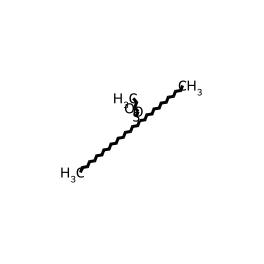 CCCCCCCCCCCCCCCCCC(CCCCCCCCCCCC)SOC(=O)CC